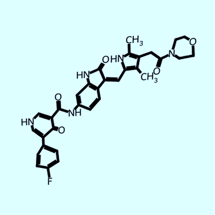 Cc1[nH]c(C=C2C(=O)Nc3cc(NC(=O)c4c[nH]cc(-c5ccc(F)cc5)c4=O)ccc32)c(C)c1CC(=O)N1CCOCC1